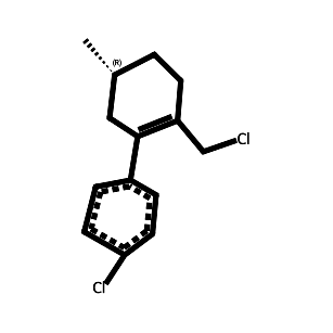 C[C@@H]1CCC(CCl)=C(c2ccc(Cl)cc2)C1